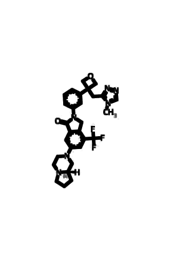 Cn1cnnc1CC1(c2cccc(N3Cc4c(cc(N5CCN6CCC[C@H]6C5)cc4C(F)(F)F)C3=O)c2)COC1